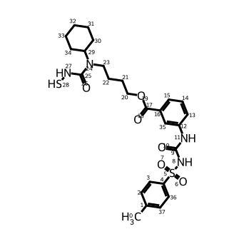 Cc1ccc(S(=O)(=O)NC(=O)Nc2cccc(C(=O)OCCCCN(C(=O)NS)C3CCCCC3)c2)cc1